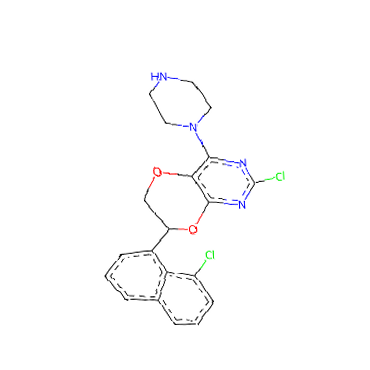 Clc1nc2c(c(N3CCNCC3)n1)OCC(c1cccc3cccc(Cl)c13)O2